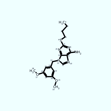 CCCCSc1nc(N)c2ncn(Cc3cc(OC)cc(OC)c3)c2n1